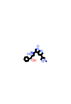 Cn1cc(-c2cnc3[nH]cc(-c4cc(C(O)c5ccccc5)[nH]n4)c3c2)cn1